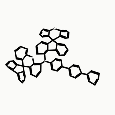 c1ccc(-c2ccc(-c3ccc(N(c4cccc5c4Sc4ccccc4C54c5ccccc5-c5ccccc54)c4cccc5c4-c4ccccc4C54c5ccccc5Oc5ccccc54)cc3)cc2)cc1